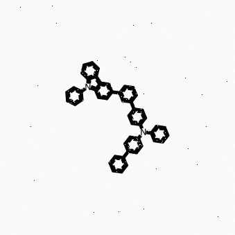 c1ccc(-c2ccc(N(c3ccccc3)c3ccc(-c4cccc(-c5ccc6c(c5)c5ccccc5n6-c5ccccc5)c4)cc3)cc2)cc1